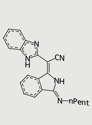 CCCCCN=C1NC(=C(C#N)c2nc3ccccc3[nH]2)c2ccccc21